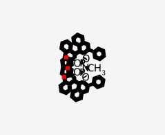 CN(p1oc2c(-c3ccccc3)cc3ccccc3c2c2c(o1)c(-c1ccccc1)cc1ccccc12)p1oc2c(-c3ccccc3)cc3ccccc3c2c2c(o1)c(-c1ccccc1)cc1ccccc12